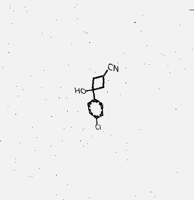 N#CC1CC(O)(c2ccc(Cl)cc2)C1